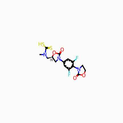 CN(C[C@@H]1CN(c2cc(F)c(N3CCOC3=O)c(F)c2)C(=O)O1)C(=S)S